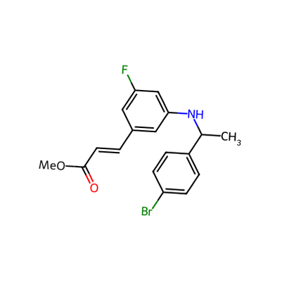 COC(=O)/C=C/c1cc(F)cc(NC(C)c2ccc(Br)cc2)c1